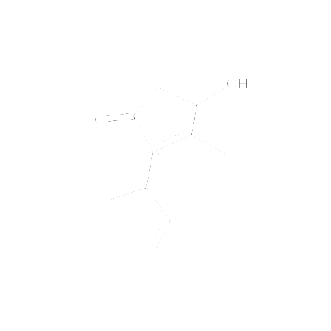 C=CC(C)C1=C(C)C(O)CC1=O